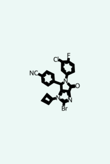 N#Cc1ccc(C2c3c(nc(Br)n3C3=CC=C3)C(=O)N2c2ccc(F)c(Cl)c2)cc1